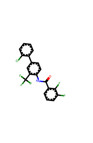 O=C(Nc1ccc(-c2ccccc2Cl)cc1C(F)(F)F)c1cccc(F)c1F